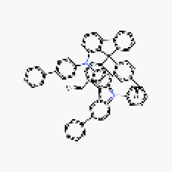 C=Cc1ccc(C2(c3ccc(C=C)cc3)c3ccccc3-c3cccc(N(c4ccc(-c5ccccc5)cc4)c4ccc5c(c4)c4cc(-c6ccccc6)ccc4n5-c4ccccc4)c32)cc1